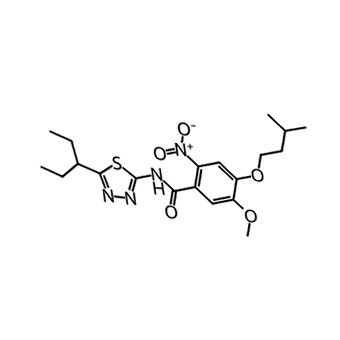 CCC(CC)c1nnc(NC(=O)c2cc(OC)c(OCCC(C)C)cc2[N+](=O)[O-])s1